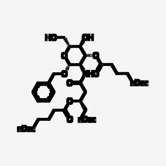 CCCCCCCCCCCCCC(=O)O[C@H](CCCCCCCCCCC)CC(=O)N[C@H]1[C@H](OCc2ccccc2)O[C@H](CO)[C@@H](O)[C@@H]1OC(=O)CCCCCCCCCCCCC